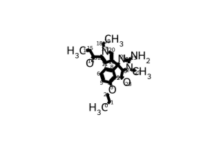 CCCOc1cccc(C2(c3cc(C(=O)CC)n(CC)c3)N=C(N)N(C)C2C=O)c1